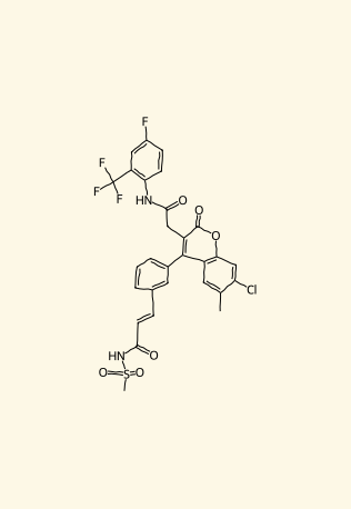 Cc1cc2c(-c3cccc(/C=C/C(=O)NS(C)(=O)=O)c3)c(CC(=O)Nc3ccc(F)cc3C(F)(F)F)c(=O)oc2cc1Cl